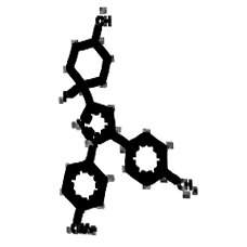 COc1ccc(-n2nc(C3(F)CCC(O)CC3)cc2-c2ccc(C)cc2)cc1